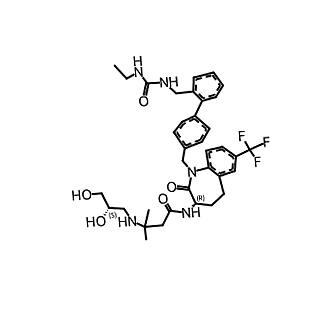 CCNC(=O)NCc1ccccc1-c1ccc(CN2C(=O)[C@H](NC(=O)CC(C)(C)NC[C@H](O)CO)CCc3cc(C(F)(F)F)ccc32)cc1